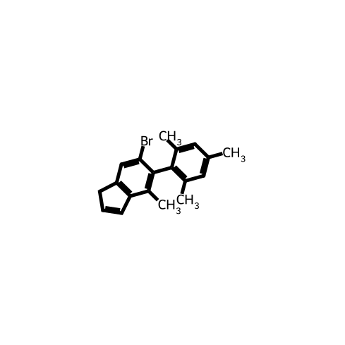 Cc1cc(C)c(-c2c(Br)cc3c(c2C)C=CC3)c(C)c1